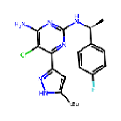 C[C@H](Nc1nc(N)c(Cl)c(-c2cc(C(C)(C)C)[nH]n2)n1)c1ccc(F)cc1